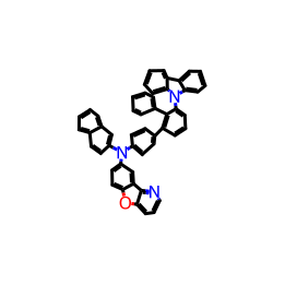 c1ccc(-c2c(-c3ccc(N(c4ccc5ccccc5c4)c4ccc5oc6cccnc6c5c4)cc3)cccc2-n2c3ccccc3c3ccccc32)cc1